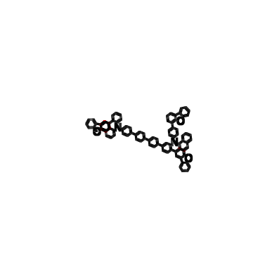 c1ccc(N(c2ccc(-c3ccc(-c4ccc(-c5ccc(-c6ccc7oc8ccccc8c7c6)c(N(c6ccc(-c7cccc8c7oc7ccccc78)cc6)c6cccc7ccccc67)c5)cc4)cc3)cc2)c2cccc3ccccc23)c(-c2ccc3oc4ccccc4c3c2)c1